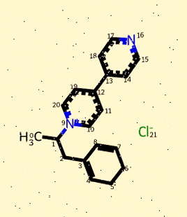 CC(CC1=C[C][CH]C=C1)[n+]1ccc(-c2ccncc2)cc1.[Cl-]